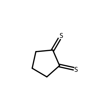 S=C1CCCC1=S